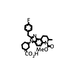 COC(=O)N1c2ccc3c(nc(Cc4ccc(F)cc4)n3[C@@H]3CCC[C@@H](C(=O)O)C3)c2CCC1C